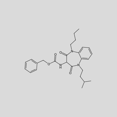 CCCCN1C(=O)C(NC(=O)OCc2ccccc2)C(=O)N(CCC(C)C)c2ccccc21